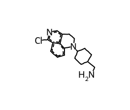 NCC1CCC(N2CCc3cnc(Cl)c4cccc2c34)CC1